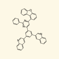 c1ccc(-c2nc(-c3cc(-c4cnc5ccccc5c4)cc(-c4cnc5ccccc5c4)c3)cc(-c3cccc4oc5ccccc5c34)n2)cc1